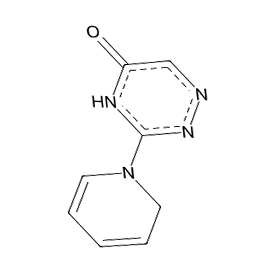 O=c1cnnc(N2C=CC=CC2)[nH]1